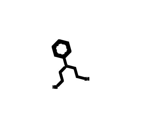 SCCN(CCS)c1ccccc1